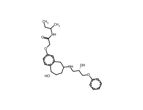 CCC(C)NC(=O)COc1ccc2c(c1)CC(NC[C@H](O)COc1ccccc1)CCC2.Cl